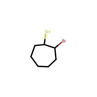 SC1CCCCCC1Br